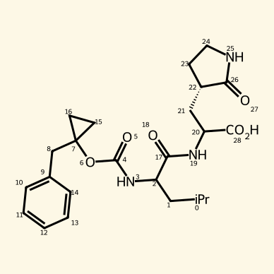 CC(C)CC(NC(=O)OC1(Cc2ccccc2)CC1)C(=O)NC(C[C@@H]1CCNC1=O)C(=O)O